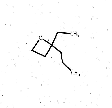 CCCC1(CC)CCO1